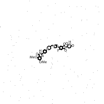 COc1cc(OC)c2c(=O)[nH]c(-c3ccc(N4CCC(CN5CC6CC5CN6c5cc6c(cc5F)C(=O)N(C5CCC(=O)NC5=O)C6=O)CC4)cc3)nc2c1